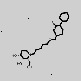 OC[C@@H]1[C@H](O)[C@H](O)CCN1CCCCCOCC1CCC(C2CCCCC2)C(F)C1